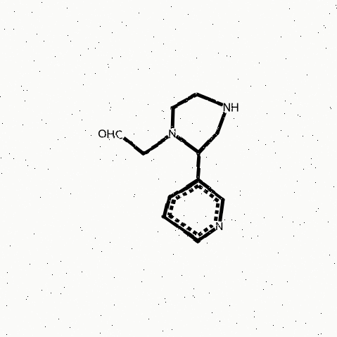 O=CCN1CCNCC1c1cccnc1